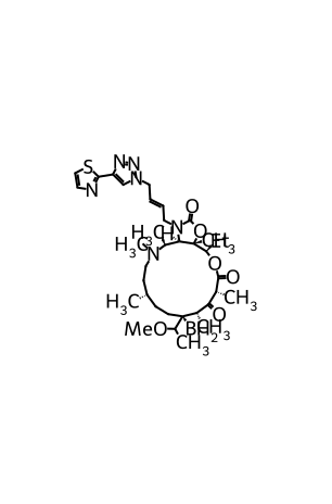 B[C@@]1(C(C)OC)CC[C@H](C)CCN(C)[C@@H](C)[C@H]2N(C/C=C/Cn3cc(-c4nccs4)nn3)C(=O)O[C@]2(C)[C@@H](CC)OC(=O)[C@H](C)C(=O)[C@@H]1C